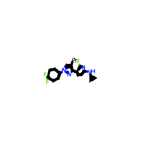 CC(C)c1cn(C2CCC(F)(F)CC2)nc1-c1ccc(NC2CC2)nc1F